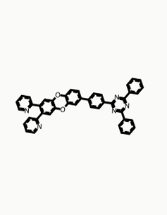 c1ccc(-c2nc(-c3ccccc3)nc(-c3ccc(-c4ccc5c(c4)Oc4cc(-c6ccccn6)c(-c6ccccn6)cc4O5)cc3)n2)cc1